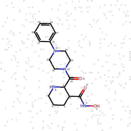 O=C(NO)C1C[CH]CNC1C(=O)N1CCN(c2ccccc2)CC1